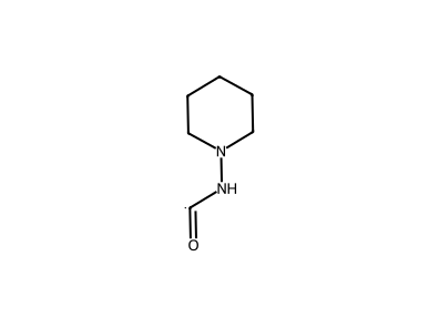 O=[C]NN1CCCCC1